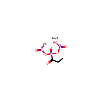 CCC(=O)P(=O)(O[PH](=O)O)O[PH](=O)O.[NaH]